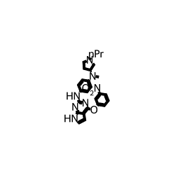 CCCN1CC[C@H](N(C)c2ccc(Nc3nc(Oc4cccc([N+](=O)[O-])c4)c4cc[nH]c4n3)cc2)C1